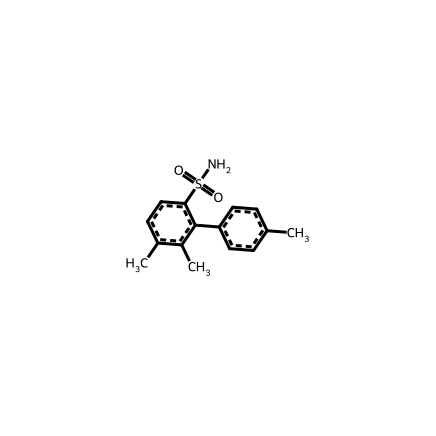 Cc1ccc(-c2c(S(N)(=O)=O)ccc(C)c2C)cc1